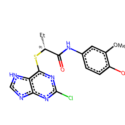 CC[C@@H](Sc1nc(Cl)nc2nc[nH]c12)C(=O)Nc1ccc(O)c(OC)c1